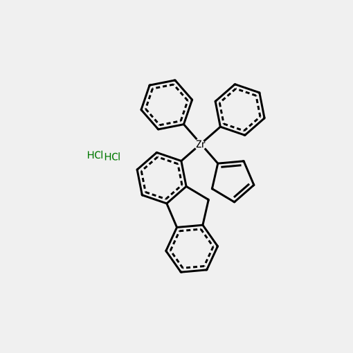 C1=CC[C]([Zr]([c]2ccccc2)([c]2ccccc2)[c]2cccc3c2Cc2ccccc2-3)=C1.Cl.Cl